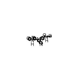 COCCNC(=O)C1CCN(c2nc(-c3ccnc(NC4CCOCC4)c3)cc3cnccc23)CC1